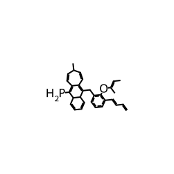 C=C/C=C/c1cccc(CC2=C3C=CC(C)C=CC3=C(P)C3C=CC=CC23)c1O/C(C)=C/C